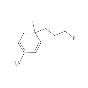 CC1(CCCF)C=CC(N)=CC1